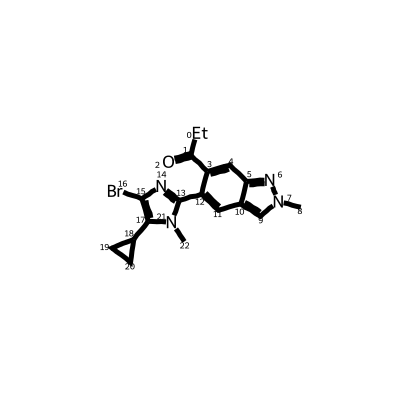 CCC(=O)c1cc2nn(C)cc2cc1-c1nc(Br)c(C2CC2)n1C